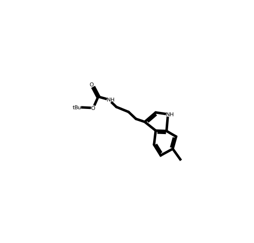 Cc1ccc2c(CCCNC(=O)OC(C)(C)C)c[nH]c2c1